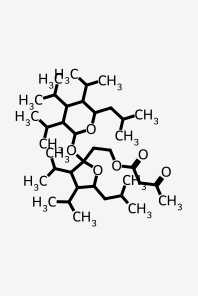 CC(=O)CC(=O)OCCC1(OC2OC(CC(C)C)C(C(C)C)C(C(C)C)C2C(C)C)OC(CC(C)C)C(C(C)C)C1C(C)C